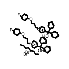 CCCCCCCC.OC(c1ccccc1)(c1ccccc1)C12CC[N+](CCCOc3ccc(F)cc3)(CC1)CC2.OC(c1ccccc1)(c1ccccc1)C12CC[N+](CCCOc3ccc(F)cc3)(CC1)CC2.[Br-].[Br-]